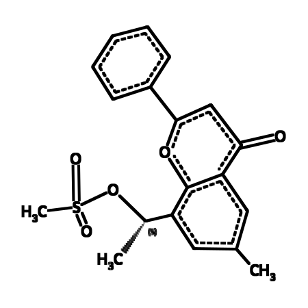 Cc1cc([C@H](C)OS(C)(=O)=O)c2oc(-c3ccccc3)cc(=O)c2c1